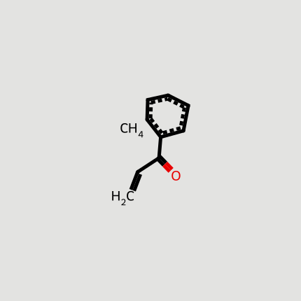 C.C=CC(=O)c1ccccc1